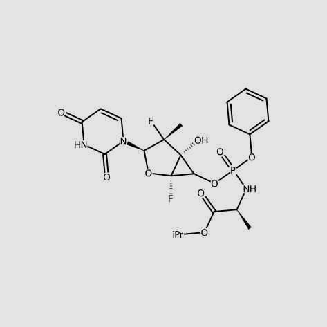 CC(C)OC(=O)[C@H](C)NP(=O)(Oc1ccccc1)OC1[C@]2(O)[C@@](C)(F)[C@H](n3ccc(=O)[nH]c3=O)O[C@]12F